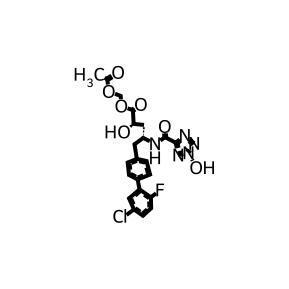 CC(=O)OCOC(=O)[C@H](O)C[C@@H](Cc1ccc(-c2cc(Cl)ccc2F)cc1)NC(=O)c1nnn(O)n1